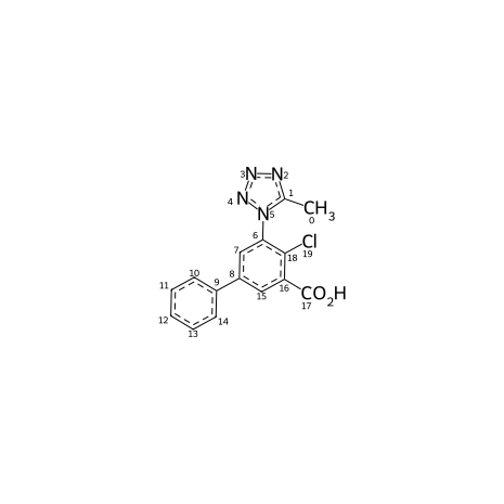 Cc1nnnn1-c1cc(-c2ccccc2)cc(C(=O)O)c1Cl